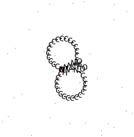 O=[C]C1(N2NC(=O)CCCCCCCCCCCCCCCCC(=O)N2)NC(=O)CCCCCCCCCCCCCCCCC(=O)N1